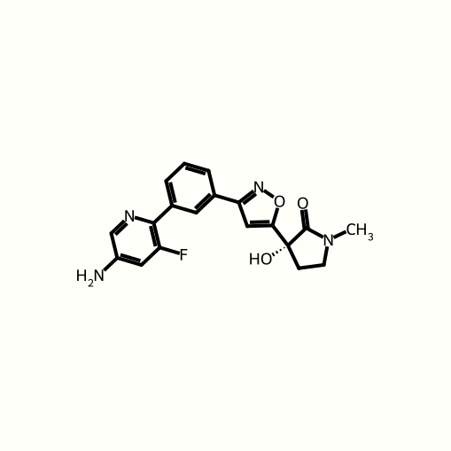 CN1CC[C@@](O)(c2cc(-c3cccc(-c4ncc(N)cc4F)c3)no2)C1=O